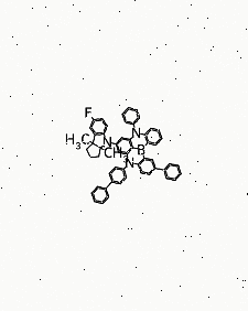 CC12CCCC1(C)N(c1cc3c4c(c1)N(c1ccc(-c5ccccc5)cc1)c1ccc(-c5ccccc5)cc1B4c1ccccc1N3c1ccccc1)c1ccc(F)cc12